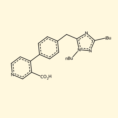 CCCCn1nc(C(C)CC)nc1Cc1ccc(-c2ccncc2C(=O)O)cc1